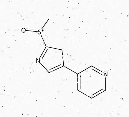 C[S+]([O-])C1=NC=C(c2cccnc2)C1